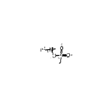 CC(C)NOS(C)(=O)=O